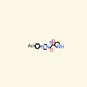 CC(=O)c1ccc(N2CCN(C(=O)c3noc4c3CNCC4)CC2)cc1